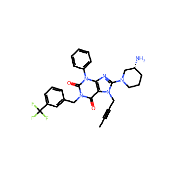 CC#CCn1c(N2CCC[C@@H](N)C2)nc2c1c(=O)n(Cc1cccc(C(F)(F)F)c1)c(=O)n2-c1ccccc1